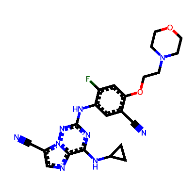 N#Cc1cc(Nc2nc(NC3CC3)c3ncc(C#N)n3n2)c(F)cc1OCCN1CCOCC1